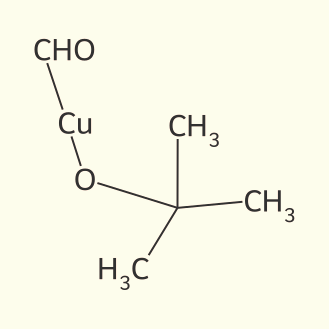 CC(C)(C)[O][Cu][CH]=O